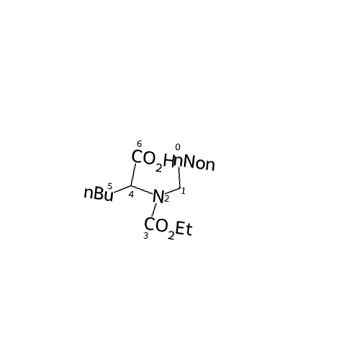 CCCCCCCCCCN(C(=O)OCC)C(CCCC)C(=O)O